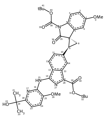 COc1ccc2c(c1)[C@]1(C[C@H]1c1ccc3c(Nc4nc(C(C)(C)O)ccc4OC)nn(C(=O)OC(C)(C)C)c3c1)C(=O)N2C(=O)OC(C)(C)C